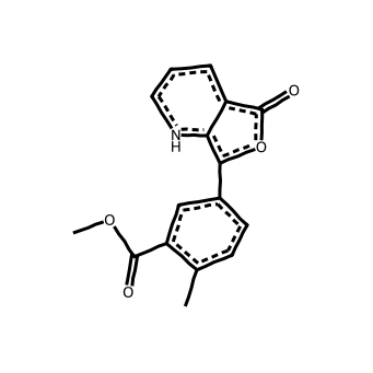 COC(=O)c1cc(-c2oc(=O)c3ccc[nH]c2-3)ccc1C